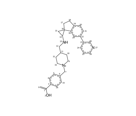 C=C(O)c1ccc(CN2CCC(CNC3CC34CCc3ccc(-c5cccnc5)cc34)CC2)cc1